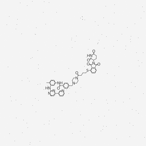 Cc1ccc(NC(=O)c2ccc(CN3CCN(C(=O)CCCSc4cccc5c4C(=O)N(C4CCC(=O)NC4=O)C5=O)CC3)cc2)cc1Nc1nccc(-c2cccnc2)n1